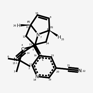 CC(C)(C)OC(=O)N1[C@@H]2C=C[C@H]1CC(C#N)(c1cncc(C#N)c1)C2